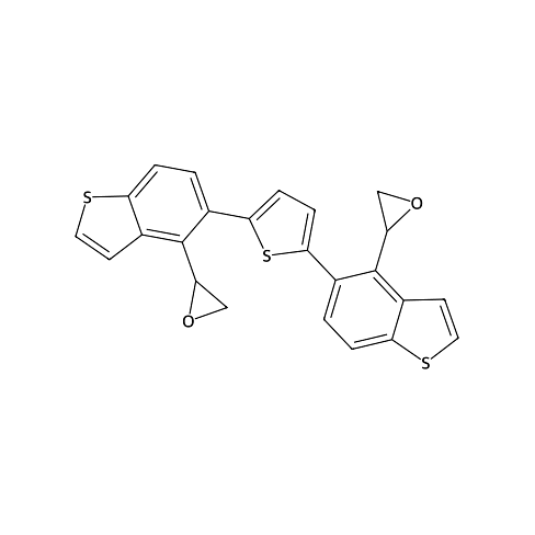 c1cc2c(C3CO3)c(-c3ccc(-c4ccc5sccc5c4C4CO4)s3)ccc2s1